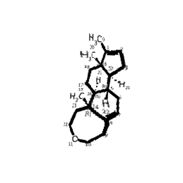 CC1=CC[C@H]2[C@@H]3CC=C4CCOCC[C@]4(C)[C@H]3CC[C@]12C